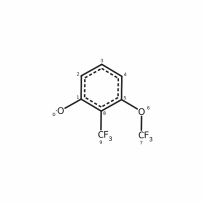 [O]c1cccc(OC(F)(F)F)c1C(F)(F)F